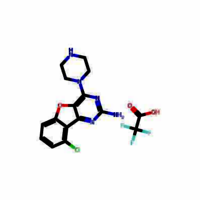 Nc1nc(N2CCNCC2)c2oc3cccc(Cl)c3c2n1.O=C(O)C(F)(F)F